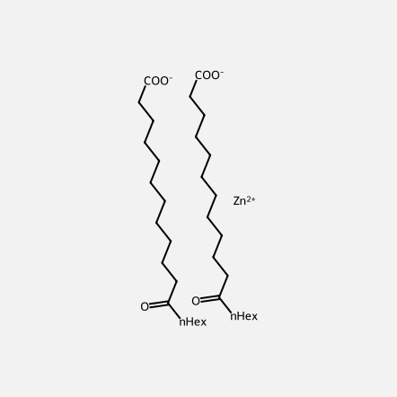 CCCCCCC(=O)CCCCCCCCCCC(=O)[O-].CCCCCCC(=O)CCCCCCCCCCC(=O)[O-].[Zn+2]